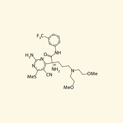 COCCN(CCC[C@](N)(C(=O)Nc1cccc(C(F)(F)F)c1)c1nc(N)nc(SC)c1C#N)CCOC